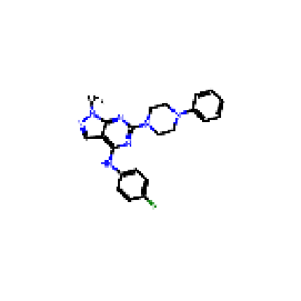 Cn1ncc2c(Nc3ccc(F)cc3)nc(N3CCN(c4ccccc4)CC3)nc21